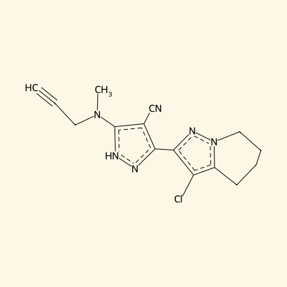 C#CCN(C)c1[nH]nc(-c2nn3c(c2Cl)CCCC3)c1C#N